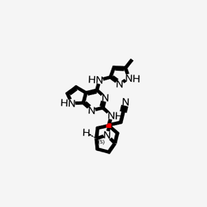 Cc1cc(Nc2nc(NC3CC4CC[C@@H](C3)N4CCC#N)nc3[nH]ccc23)n[nH]1